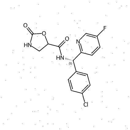 O=C1NCC(C(=O)N[C@@H](c2ccc(Cl)cc2)c2ccc(F)cn2)O1